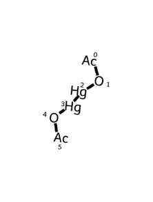 CC(=O)[O][Hg][Hg][O]C(C)=O